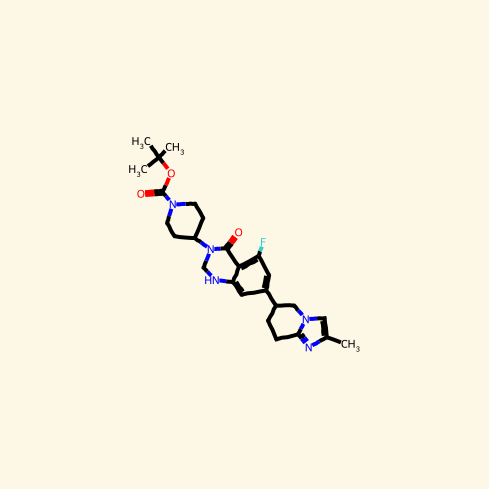 Cc1cn2c(n1)CCC(c1cc(F)c3c(c1)NCN(C1CCN(C(=O)OC(C)(C)C)CC1)C3=O)C2